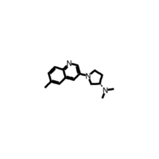 Cc1ccc2ncc(N3CC[C@H](N(C)C)C3)cc2c1